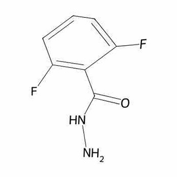 NNC(=O)c1c(F)cccc1F